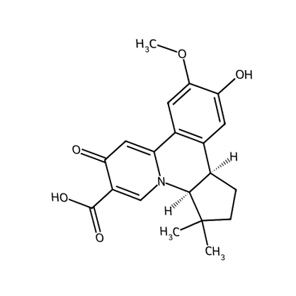 COc1cc2c(cc1O)[C@H]1CCC(C)(C)[C@H]1n1cc(C(=O)O)c(=O)cc1-2